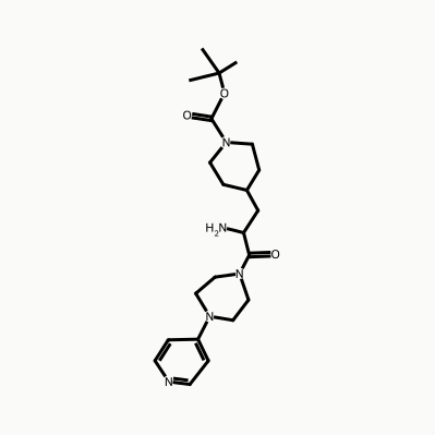 CC(C)(C)OC(=O)N1CCC(CC(N)C(=O)N2CCN(c3ccncc3)CC2)CC1